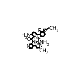 CCCOc1ccc(F)c(-c2ccc(N)c(C(=O)Nc3cnccc3-c3cc(C)nc(N)n3)n2)c1F